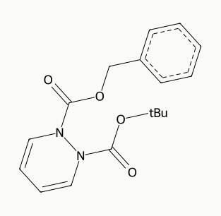 CC(C)(C)OC(=O)N1C=CC=CN1C(=O)OCc1ccccc1